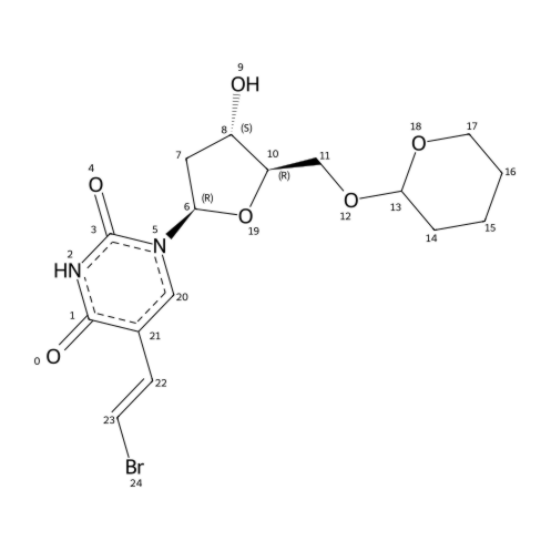 O=c1[nH]c(=O)n([C@H]2C[C@H](O)[C@@H](COC3CCCCO3)O2)cc1C=CBr